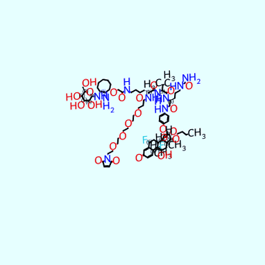 CCCC1O[C@@H]2C[C@H]3[C@@H]4C[C@H](F)C5=CC(=O)C=C[C@]5(C)[C@@]4(F)[C@@H](O)C[C@]3(C)[C@]2(C(=O)COc2ccc(NC(=O)[C@H](CCCNC(N)=O)NC(=O)[C@@H](NC(=O)[C@@H](CCCCNC(=O)COC3CCCCC/C(N[C@@H]4O[C@H](CO)[C@H](O)[C@H](O)[C@H]4O)=C\3N)NC(=O)CCOCCOCCOCCOCCN3C(=O)C=CC3=O)C(C)C)cc2)O1